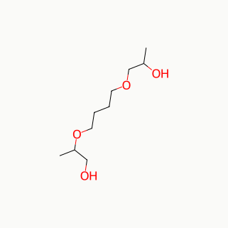 CC(O)COCCCCOC(C)CO